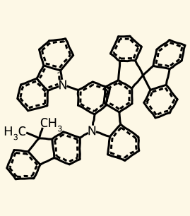 CC1(C)c2ccccc2-c2ccc(N(c3cccc(-n4c5ccccc5c5ccccc54)c3)c3ccccc3-c3ccc4c(c3)C3(c5ccccc5-c5ccccc53)c3ccccc3-4)cc21